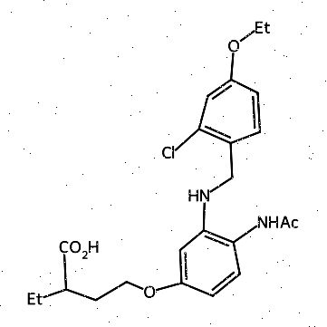 CCOc1ccc(CNc2cc(OCCC(CC)C(=O)O)ccc2NC(C)=O)c(Cl)c1